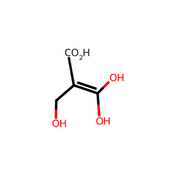 O=C(O)C(CO)=C(O)O